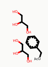 CC(=O)OCc1ccccc1.OCC(O)CO.OCC(O)CO